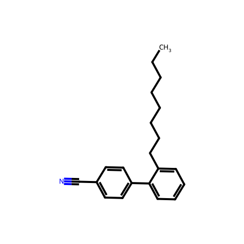 CCCCCCCCc1ccccc1-c1ccc(C#N)cc1